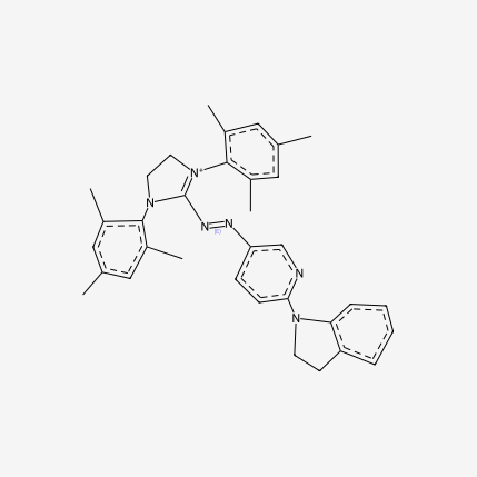 Cc1cc(C)c(N2CC[N+](c3c(C)cc(C)cc3C)=C2/N=N/c2ccc(N3CCc4ccccc43)nc2)c(C)c1